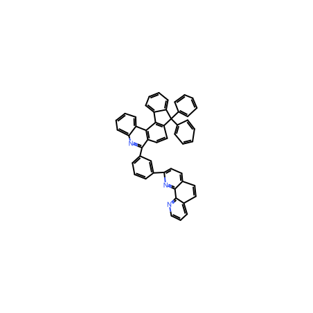 c1ccc(C2(c3ccccc3)c3ccccc3-c3c2ccc2c(-c4cccc(-c5ccc6ccc7cccnc7c6n5)c4)nc4ccccc4c32)cc1